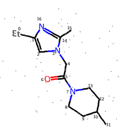 CCc1cn(CC(=O)N2CCC(C)CC2)c(C)n1